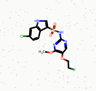 COc1nc(NS(=O)(=O)c2c[nH]c3cc(Cl)ccc23)ncc1OCCF